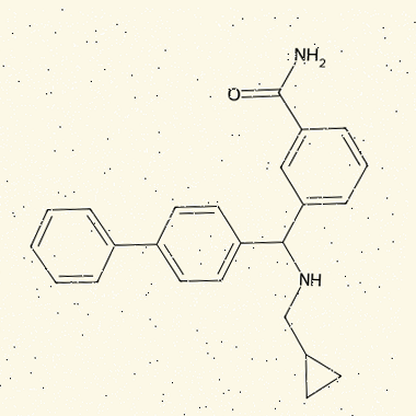 NC(=O)c1cccc(C(NCC2CC2)c2ccc(-c3ccccc3)cc2)c1